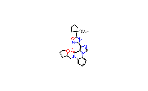 COC1(c2nc(-c3ncn4c3c(=O)n(CC3CCCO3)c3ccccc34)no2)CCCC1